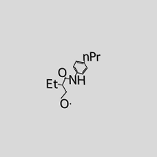 CCCc1ccc(NC(=O)C(CC)CC[O])cc1